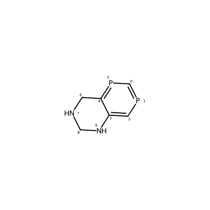 c1pcc2c(p1)CNCN2